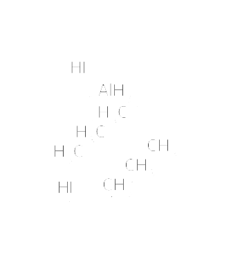 CC.CC.CC.I.I.[AlH3]